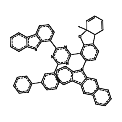 CC12C=CC=CC1c1ccc(-n3c4ccccc4c4cc5ccccc5cc43)c(-c3nc(-c4cccc(-c5ccccc5)c4)nc(-c4cccc5c4sc4ccccc45)n3)c1O2